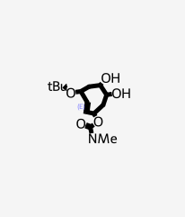 CNC(=O)OC1/C=C/C(OC(C)(C)C)CC(O)C(O)C1